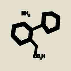 N.O=C(O)Cc1ccccc1-c1ccccc1